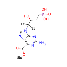 CCC(CC)([C@@H](O)CCP(=O)(O)O)n1cnc2c(C(=O)OC(C)(C)C)nc(N)nc21